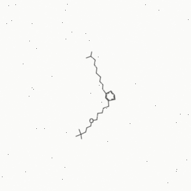 CC(C)CCCCCCCCc1cccc(CCCCCOCCCC(C)(C)C)c1